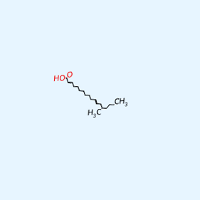 CCCCC(C)CC=CCCCCCCCC=CC(=O)O